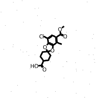 COC(=O)c1cc(Cl)c2c(c1C)OC1(CCC(C(=O)O)CC1)O2